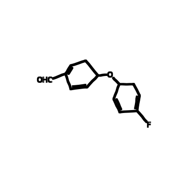 O=CC1=CCC(OC2C=CC(F)=CC2)C=C1